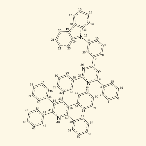 c1ccc(-c2cc(-c3cccc(-n4c5ccccc5c5ccccc54)c3)nc(-c3cccc(-c4c(-c5ccccc5)c(-c5ccccc5)nc(-c5ccccc5)c4-c4ccccc4)c3)n2)cc1